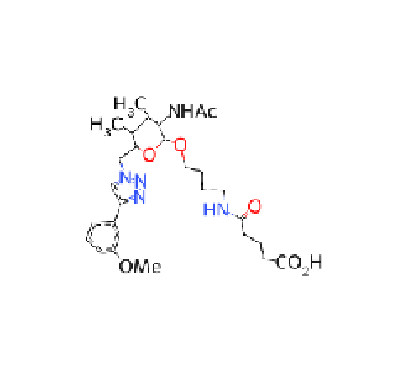 COc1cccc(-c2cn(CC3OC(OCCCCNC(=O)CCCC(=O)O)C(NC(C)=O)C(C)C3C)nn2)c1